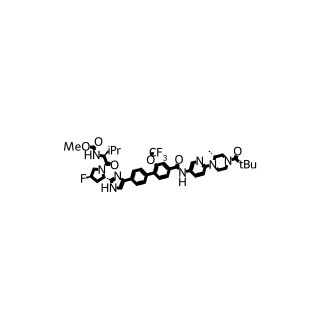 COC(=O)N[C@H](C(=O)N1C[C@H](F)C[C@H]1c1nc(-c2ccc(-c3ccc(C(=O)Nc4ccc(N5CCN(C(=O)C(C)(C)C)C[C@H]5C)nc4)cc3OC(F)(F)F)cc2)c[nH]1)C(C)C